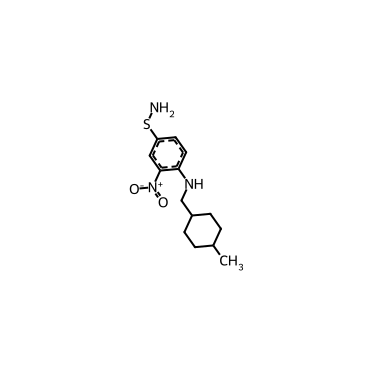 CC1CCC(CNc2ccc(SN)cc2[N+](=O)[O-])CC1